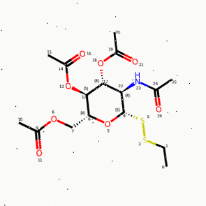 CCSS[C@@H]1O[C@H](COC(C)=O)[C@@H](OC(C)=O)[C@H](OC(C)=O)[C@H]1NC(C)=O